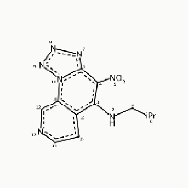 CC(C)CNc1c([N+](=O)[O-])c2nnnn2c2cnccc12